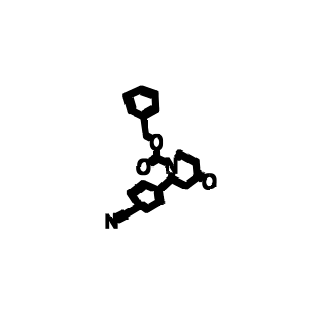 N#Cc1ccc(C2CC(=O)CCN2C(=O)OCc2ccccc2)cc1